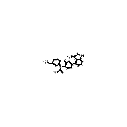 NCc1cccc(N(C(N)=O)c2ccc(-c3cccc4[nH]nc(N)c34)cc2F)c1